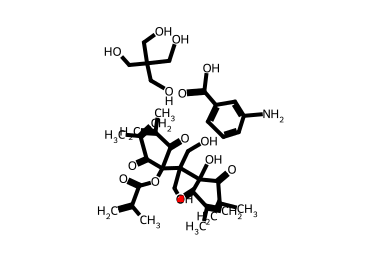 C=C(C)C(=O)OC(C(=O)C(=C)C)(C(=O)C(=C)C)C(CO)(CO)C(O)(C(=O)C(=C)C)C(=O)C(=C)C.Nc1cccc(C(=O)O)c1.OCC(CO)(CO)CO